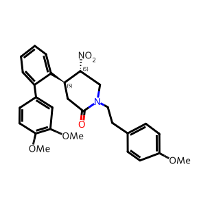 COc1ccc(CCN2C[C@@H]([N+](=O)[O-])[C@H](c3ccccc3-c3ccc(OC)c(OC)c3)CC2=O)cc1